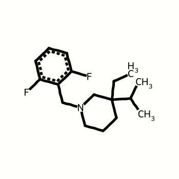 CCC1(C(C)C)CCCN(Cc2c(F)cccc2F)C1